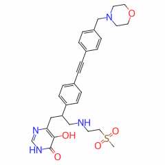 CS(=O)(=O)CCNCC(Cc1nc[nH]c(=O)c1O)c1ccc(C#Cc2ccc(CN3CCOCC3)cc2)cc1